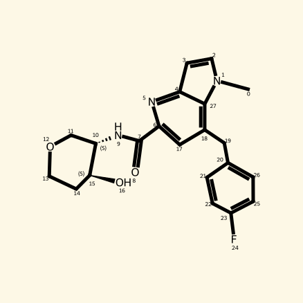 Cn1ccc2nc(C(=O)N[C@H]3COCC[C@@H]3O)cc(Cc3ccc(F)cc3)c21